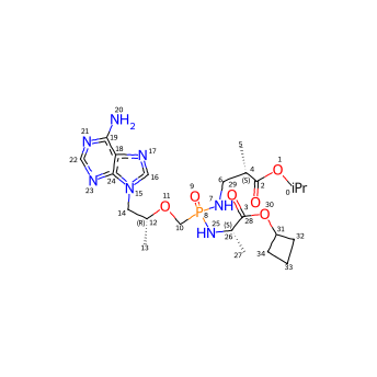 CC(C)OC(=O)[C@@H](C)CNP(=O)(CO[C@H](C)Cn1cnc2c(N)ncnc21)N[C@@H](C)C(=O)OC1CCC1